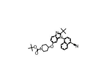 CC(C)(C)OC(=O)N1CCC(Oc2ccc3nc(C(C)(C)C)n(-c4ccc(C#N)c5ccccc45)c3c2)CC1